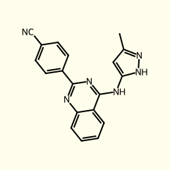 Cc1cc(Nc2nc(-c3ccc(C#N)cc3)nc3ccccc23)[nH]n1